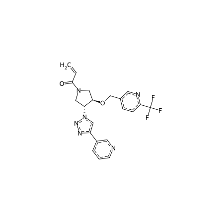 C=CC(=O)N1C[C@@H](n2cc(-c3cccnc3)nn2)[C@H](OCc2ccc(C(F)(F)F)nc2)C1